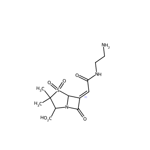 CC1(C)C(C(=O)O)N2C(=O)/C(=C/C(=O)NCCN)C2S1(=O)=O